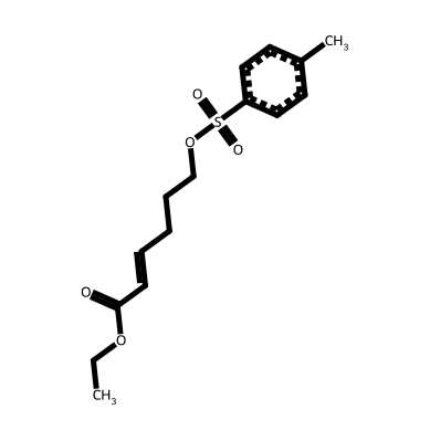 CCOC(=O)/C=C/CCCOS(=O)(=O)c1ccc(C)cc1